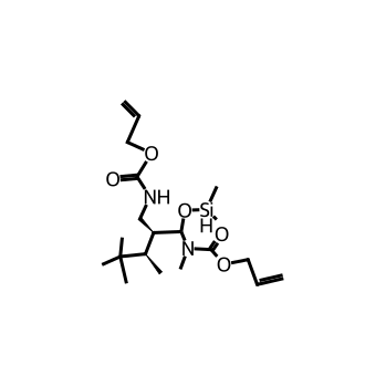 C=CCOC(=O)NC[C@@H](C(O[SiH](C)C)N(C)C(=O)OCC=C)[C@@H](C)C(C)(C)C